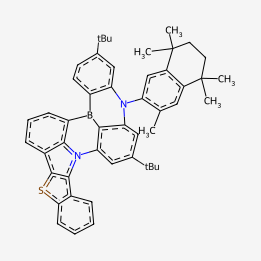 Cc1cc2c(cc1N1c3cc(C(C)(C)C)ccc3B3c4c1cc(C(C)(C)C)cc4-n1c4c3cccc4c3sc4ccccc4c31)C(C)(C)CCC2(C)C